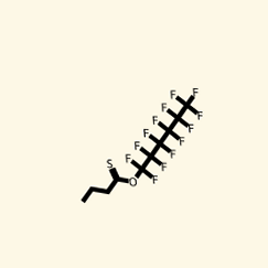 CCCC(=S)OC(F)(F)C(F)(F)C(F)(F)C(F)(F)C(F)(F)C(F)(F)F